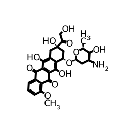 COc1cccc2c1C(=O)c1c(O)c3c(c(O)c1C2=O)C[C@@](O)(C(=O)CO)C[C@@H]3O[C@@H]1CC(N)C(O)[C@H](C)O1